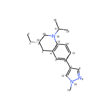 CC[C@H]1Cc2cc(-c3cnn(C)c3)ccc2N(C(C)C)C1